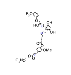 COc1cc(/C=C/C(=O)OCCO[N+](=O)[O-])ccc1OC(=O)CCC/C=C\C[C@@H]1[C@@H](/C=C/[C@@H](O)COc2cccc(C(F)(F)F)c2)[C@H](O)C[C@@H]1O